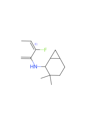 C=C(NC1C2CC2CCC1(C)C)/C(F)=C\C